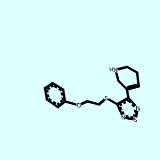 C1=C(c2nsnc2SCCOc2ccccc2)CNCC1